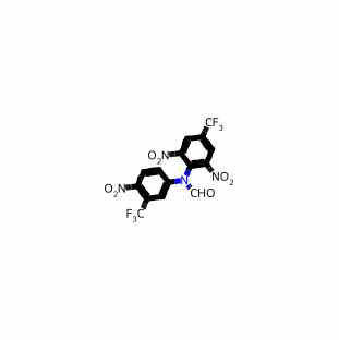 O=CN(c1ccc([N+](=O)[O-])c(C(F)(F)F)c1)c1c([N+](=O)[O-])cc(C(F)(F)F)cc1[N+](=O)[O-]